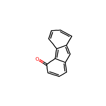 O=C1C=CC=C2C=c3ccccc3=C12